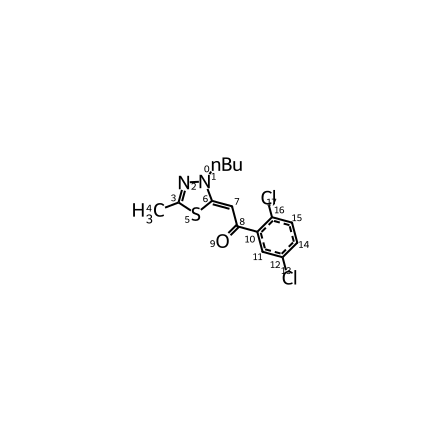 CCCCN1N=C(C)S/C1=C\C(=O)c1cc(Cl)ccc1Cl